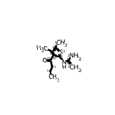 C=C(N)Nc1sc(C)c(C)c1C(=O)CCC